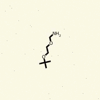 CC(C)(C)OCCOCN